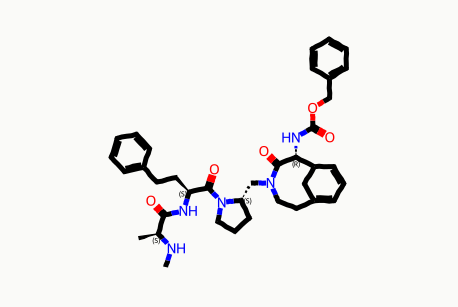 CN[C@@H](C)C(=O)N[C@@H](CCc1ccccc1)C(=O)N1CCC[C@H]1CN1CCC2=CC=CC(C2)[C@@H](NC(=O)OCc2ccccc2)C1=O